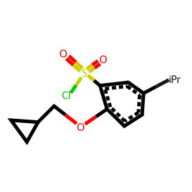 CC(C)c1ccc(OCC2CC2)c(S(=O)(=O)Cl)c1